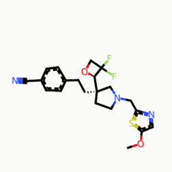 COc1cnc(CN2CC[C@@](CCc3ccc(C#N)cc3)([C@H]3OCC3(F)F)C2)s1